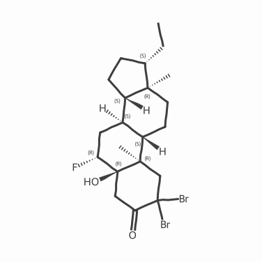 CC[C@H]1CC[C@H]2[C@@H]3C[C@@H](F)[C@@]4(O)CC(=O)C(Br)(Br)C[C@]4(C)[C@H]3CC[C@]12C